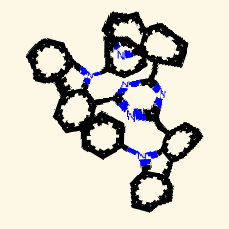 c1ccc(-n2c3ccccc3c3cccc(-c4nc(-c5cccc6cccnc56)nc(-c5cccc6c7ccccc7n(-c7ccccc7)c56)n4)c32)cc1